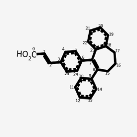 O=C(O)/C=C/c1ccc(C2=C(c3ccccc3)CCCc3ccccc32)cc1